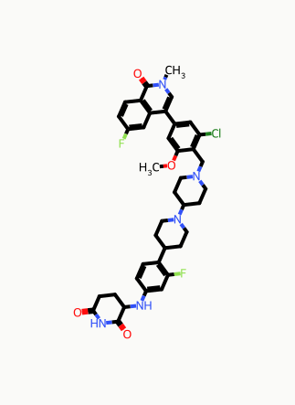 COc1cc(-c2cn(C)c(=O)c3ccc(F)cc23)cc(Cl)c1CN1CCC(N2CCC(c3ccc(NC4CCC(=O)NC4=O)cc3F)CC2)CC1